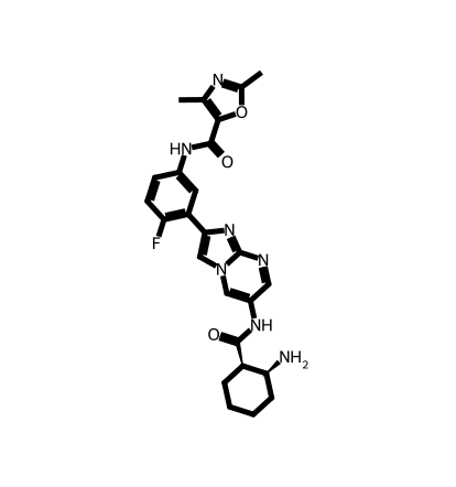 Cc1nc(C)c(C(=O)Nc2ccc(F)c(-c3cn4cc(NC(=O)[C@@H]5CCCC[C@@H]5N)cnc4n3)c2)o1